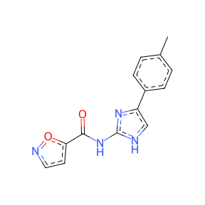 Cc1ccc(-c2c[nH]c(NC(=O)c3ccno3)n2)cc1